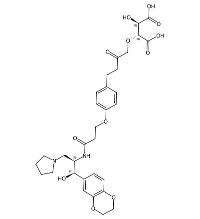 O=C(CCc1ccc(OCCC(=O)N[C@H](CN2CCCC2)[C@H](O)c2ccc3c(c2)OCCO3)cc1)CO[C@@H](C(=O)O)[C@@H](O)C(=O)O